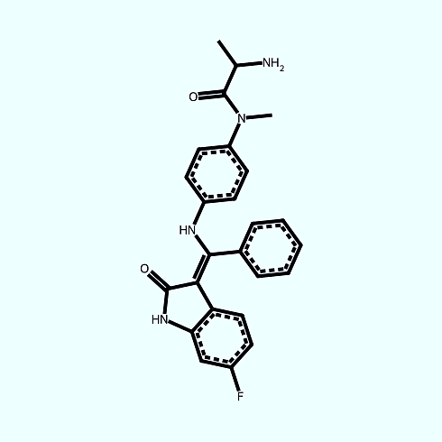 CC(N)C(=O)N(C)c1ccc(N/C(=C2\C(=O)Nc3cc(F)ccc32)c2ccccc2)cc1